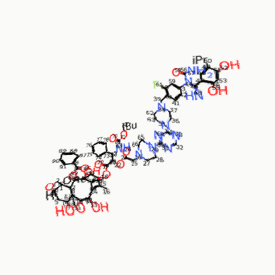 CC(=O)O[C@@]12CO[C@@H]1C[C@H](O)[C@@]1(C)C(=O)[C@H](O)C3=C(C)[C@@H](OC(=O)[C@H](OC(=O)CN4CCN(c5ncnc(N6CCN(Cc7ccc(N(C(=N)c8cc(C(C)C)c(O)cc8O)C(N)=O)cc7F)CC6)n5)CC4)[C@@H](NC(=O)OC(C)(C)C)c4ccccc4)C[C@@](O)([C@@H](OC(=O)c4ccccc4)C12)C3(C)C